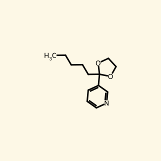 CCCCCC1(c2cccnc2)OCCO1